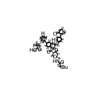 CC(C)(C)OC(=O)NC[C@H]1CC[C@H](C(=O)N(C(=O)[C@@H](N)Cc2ccc(-c3cnccc3Cl)cc2)c2ccc(-c3nn[nH]n3)cc2)CC1.O=C(O)C(F)(F)F